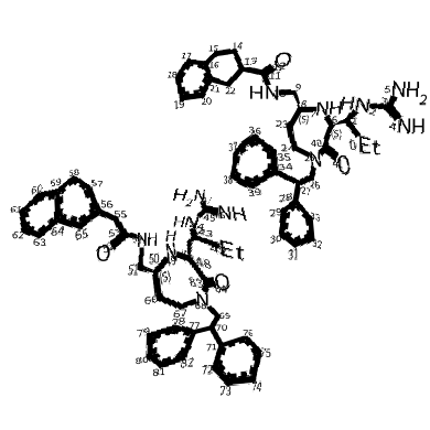 CCC(NC(=N)N)[C@@H]1N[C@H](CNC(=O)C2CCc3ccccc3C2)CCN(CC(c2ccccc2)c2ccccc2)C1=O.CCC(NC(=N)N)[C@@H]1N[C@H](CNC(=O)Cc2ccc3ccccc3c2)CCN(CC(c2ccccc2)c2ccccc2)C1=O